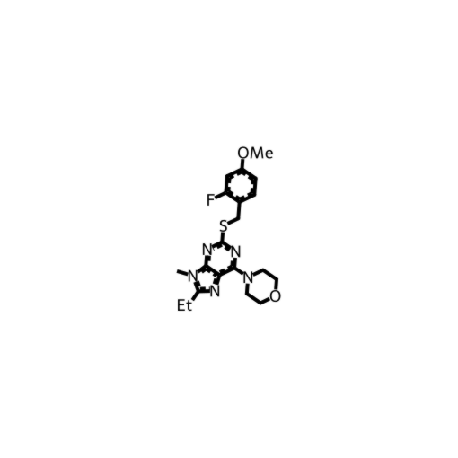 CCc1nc2c(N3CCOCC3)nc(SCc3ccc(OC)cc3F)nc2n1C